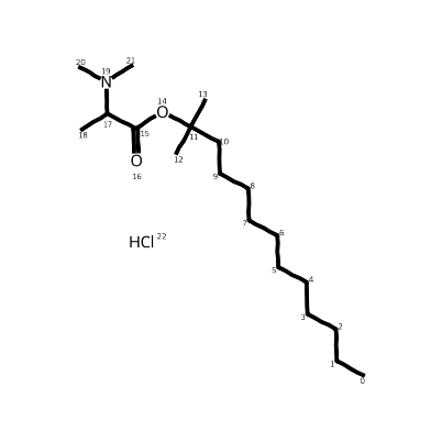 CCCCCCCCCCCC(C)(C)OC(=O)C(C)N(C)C.Cl